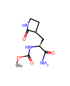 CC(C)(C)OC(=O)N[C@@H](CC1CCNC1=O)C(N)=O